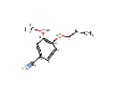 CCCOc1[c]cc(C#N)cc1OC